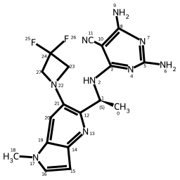 C[C@H](Nc1nc(N)nc(N)c1C#N)c1nc2ccn(C)c2cc1N1CC(F)(F)C1